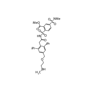 CBCCOCc1cc(C(C)C)c(CC(=O)NS(=O)(=O)c2ccc(S(=O)(=O)NC)cc2C(=O)OC)c(C(C)C)c1